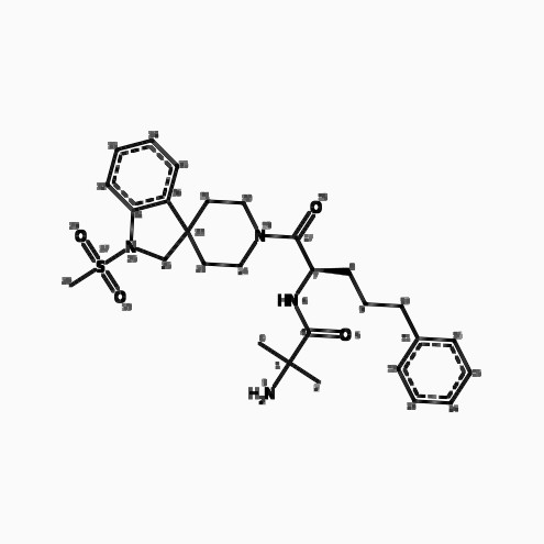 CC(C)(N)C(=O)N[C@H](CCCc1ccccc1)C(=O)N1CCC2(CC1)CN(S(C)(=O)=O)c1ccccc12